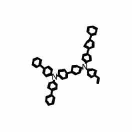 C=Cc1ccc(N(c2ccc(-c3ccc(-c4ccccc4)cc3)cc2)c2ccc(-c3ccc(N(c4ccc(-c5ccccc5)cc4)c4ccc(-c5ccccc5)cc4)cc3)cc2)cc1